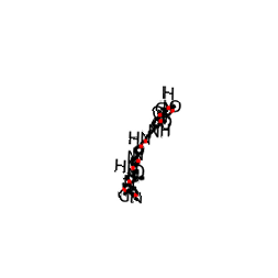 C#C[C@@H]1CN(c2ccc(C#N)c3ncccc23)[C@@H](C)CN1C(=O)Nc1ccc(N2CCC(CCNCCNc3ccc4c(c3)C(=O)N(C3CCC(=O)NC3=O)C4=O)CC2)nc1